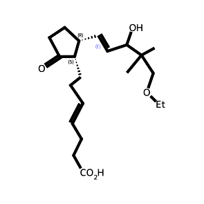 CCOCC(C)(C)C(O)/C=C/[C@H]1CCC(=O)[C@H]1CCC=CCCC(=O)O